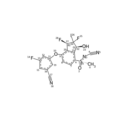 C[S@@](=O)(=NC#N)c1ccc(Oc2cc(F)cc(C#N)c2)c2c1[C@H](O)C(F)(I)[C@@H]2F